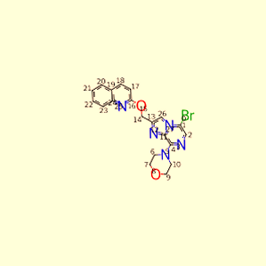 Brc1cnc(N2CCOCC2)c2nc(COc3ccc4ccccc4n3)cn12